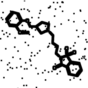 COc1ccccc1OCC1CCN(CCCCN2C(=O)c3ccccc3S2(=O)=O)C1